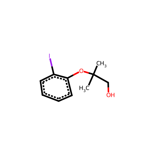 CC(C)(CO)Oc1ccccc1I